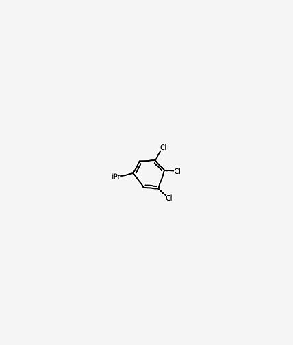 CC(C)c1cc(Cl)c(Cl)c(Cl)c1